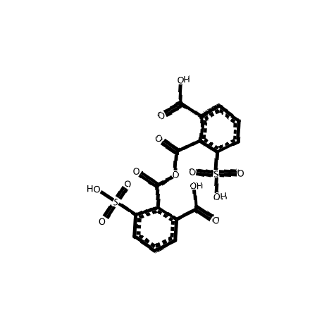 O=C(O)c1cccc(S(=O)(=O)O)c1C(=O)OC(=O)c1c(C(=O)O)cccc1S(=O)(=O)O